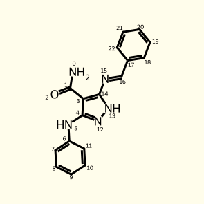 NC(=O)c1c(Nc2ccccc2)n[nH]c1/N=C/c1ccccc1